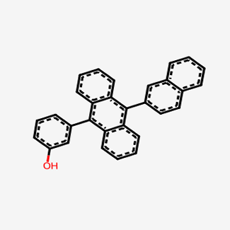 Oc1cccc(-c2c3ccccc3c(-c3ccc4ccccc4c3)c3ccccc23)c1